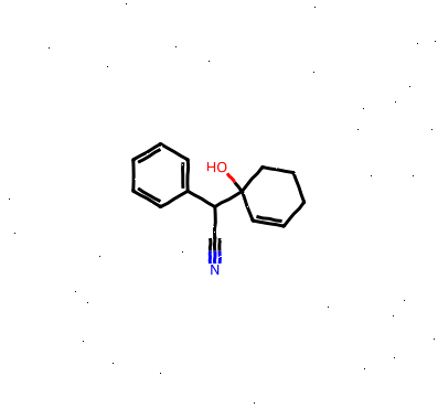 N#CC(c1ccccc1)C1(O)C=CCCC1